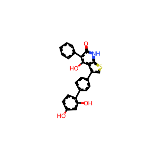 O=c1[nH]c2scc(-c3ccc(-c4ccc(O)cc4O)cc3)c2c(O)c1-c1ccccc1